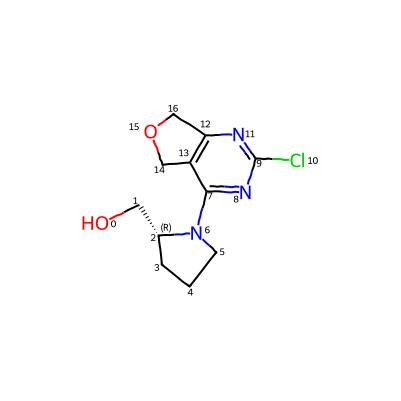 OC[C@H]1CCCN1c1nc(Cl)nc2c1COC2